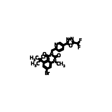 Cn1c(=O)n(Cc2ccc(-c3nnc(C(F)F)o3)cn2)c(=O)c2c(C(C)(C)C)cc(Br)cc21